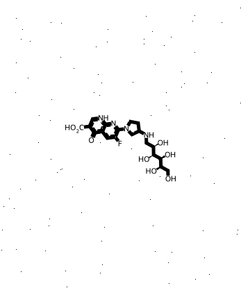 O=C(O)c1c[nH]c2nc(N3CCC(NC[C@H](O)[C@@H](O)[C@@H](O)[C@H](O)CO)C3)c(F)cc2c1=O